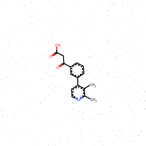 Cc1nccc(-c2cccc(C(=O)CC(=O)O)c2)c1C